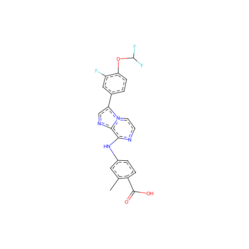 Cc1cc(Nc2nccn3c(-c4ccc(OC(F)F)c(F)c4)cnc23)ccc1C(=O)O